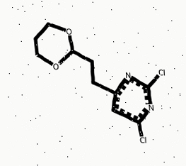 Clc1cc(CCC2OCCCO2)nc(Cl)n1